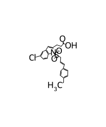 CCc1ccc(C=CCS(=O)(=O)n2c(CCC(=O)O)cc3cc(Cl)ccc32)cc1